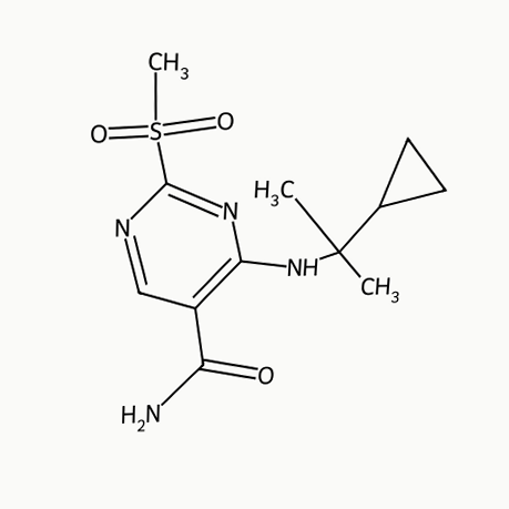 CC(C)(Nc1nc(S(C)(=O)=O)ncc1C(N)=O)C1CC1